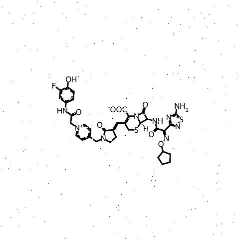 Nc1nc(/C(=N/OC2CCCC2)C(=O)N[C@@H]2C(=O)N3C(C(=O)[O-])=C(/C=C4\CCN(Cc5cc[n+](CC(=O)Nc6ccc(O)c(F)c6)cc5)C4=O)CS[C@H]23)ns1